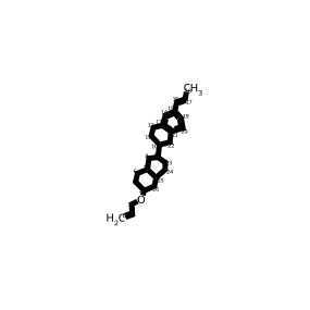 C=CCOC1CCC2CC(C3CCc4cc(C=CC)ccc4C3)CCC2C1